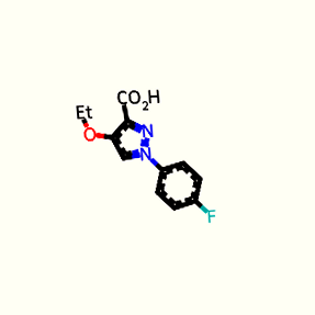 CCOc1cn(-c2ccc(F)cc2)nc1C(=O)O